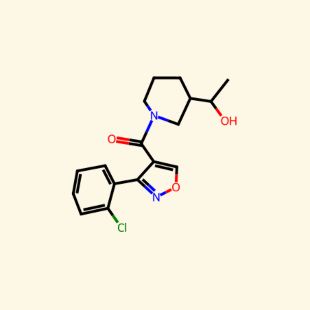 CC(O)C1CCCN(C(=O)c2conc2-c2ccccc2Cl)C1